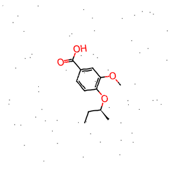 CC[C@H](C)Oc1ccc(C(=O)O)cc1OC